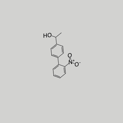 CC(O)c1ccc(-c2ccccc2[N+](=O)[O-])cc1